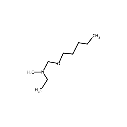 CCCCCOCN(C)CC